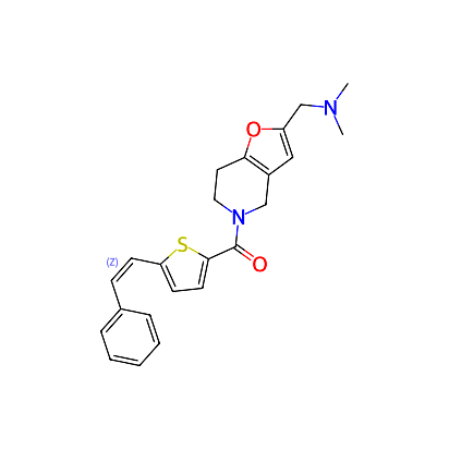 CN(C)Cc1cc2c(o1)CCN(C(=O)c1ccc(/C=C\c3ccccc3)s1)C2